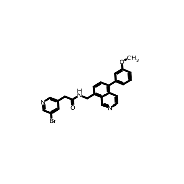 COc1cccc(-c2ccc(CNC(=O)Cc3cncc(Br)c3)c3cnccc23)c1